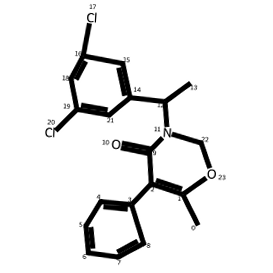 CC1=C(c2ccccc2)C(=O)N(C(C)c2cc(Cl)cc(Cl)c2)CO1